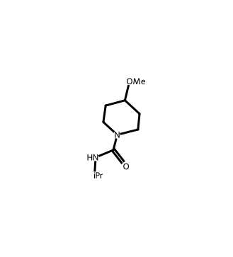 COC1CCN(C(=O)NC(C)C)CC1